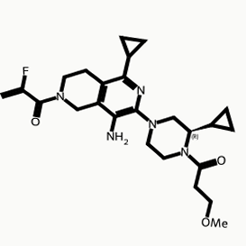 C=C(F)C(=O)N1CCc2c(C3CC3)nc(N3CCN(C(=O)CCOC)[C@H](C4CC4)C3)c(N)c2C1